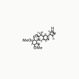 COc1cc(OC)c(F)c(N2Cc3cnc(-c4c[nH]nc4C)cc3C3(CC3)C2=O)c1F